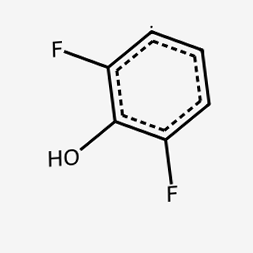 Oc1c(F)[c]ccc1F